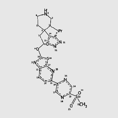 CC(C)C1CNCCC1(CCOc1nc2ccc(-c3cnc(S(C)(=O)=O)cn3)nc2s1)c1cnno1